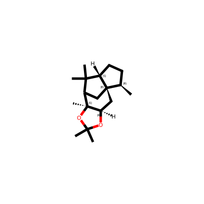 C[C@@H]1CC[C@H]2C(C)(C)C3C[C@@]12C[C@H]1OC(C)(C)O[C@@]31C